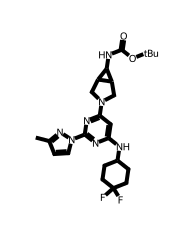 Cc1ccn(-c2nc(NC3CCC(F)(F)CC3)cc(N3CC4C(C3)C4NC(=O)OC(C)(C)C)n2)n1